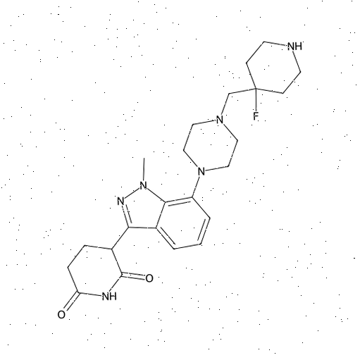 Cn1nc(C2CCC(=O)NC2=O)c2cccc(N3CCN(CC4(F)CCNCC4)CC3)c21